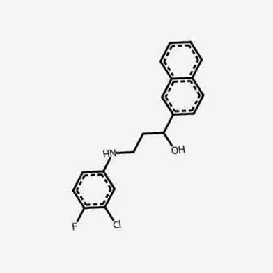 OC(CCNc1ccc(F)c(Cl)c1)c1ccc2ccccc2c1